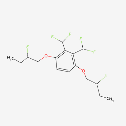 CCC(F)COc1ccc(OCC(F)CC)c(C(F)F)c1C(F)F